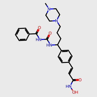 CN1CCN(CCCC(NC(=O)NC(=O)c2ccccc2)c2ccc(C=CC(=O)NO)cc2)CC1